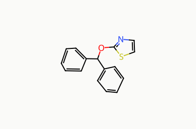 c1ccc(C(Oc2nccs2)c2ccccc2)cc1